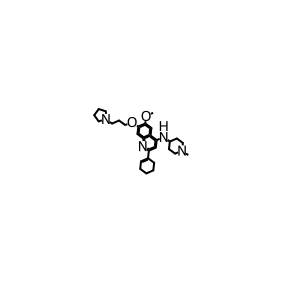 COc1cc2c(NC3CCN(C)CC3)cc(C3=CCCCC3)nc2cc1OCCCN1CCCC1